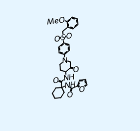 COc1ccccc1CS(=O)(=O)c1ccc(N2CCC(NC(=O)C3(NC(=O)c4ccco4)CCCCC3)C(=O)C2)cc1